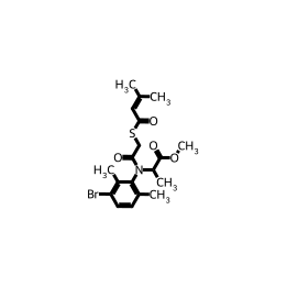 COC(=O)C(C)N(C(=O)CSC(=O)C=C(C)C)c1c(C)ccc(Br)c1C